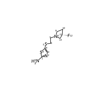 Nc1ncc(SCCN2CC[C@H](F)C2)s1